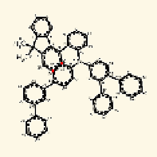 CC1(C)c2ccccc2-c2c(-c3ccccc3N(c3ccc(-c4cccc(-c5ccccc5)c4)cc3)c3ccc(-c4ccccc4)c(-c4ccccc4)c3)cccc21